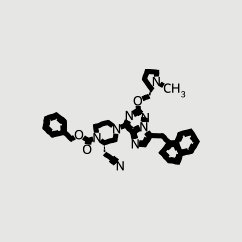 CN1CCC[C@H]1COc1nc(N2CCN(C(=O)OCc3ccccc3)[C@@H](CC#N)C2)c2ncc(Cc3cccc4ccccc34)n2n1